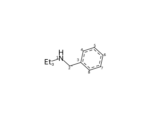 CCN[CH]c1ccccc1